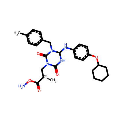 Cc1ccc(CN2C(=O)N(C[C@H](C)C(=O)ON)C(=O)NC2Nc2ccc(OC3CCCCC3)cc2)cc1